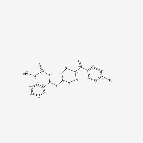 CCCOC(=O)OC(CN1CCC(C(=O)c2ccc(F)cc2)CC1)c1ccccc1